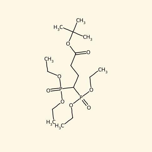 CCOP(=O)(OCC)C(CCC(=O)OC(C)(C)C)P(=O)(OCC)OCC